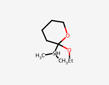 CCOC1([SiH](C)C)CCCCO1